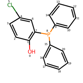 Oc1ccc(Cl)cc1P(c1ccccc1)c1ccccc1